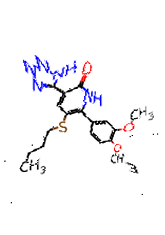 CCCCSc1cc(-c2nnn[nH]2)c(=O)[nH]c1-c1ccc(OC)c(OC)c1